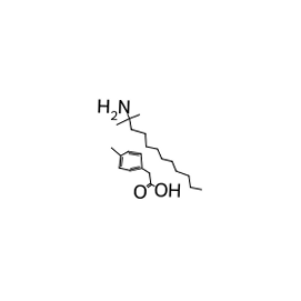 CCCCCCCCCCC(C)(C)N.Cc1ccc(CC(=O)O)cc1